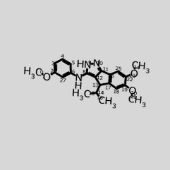 COc1cccc(Nc2[nH]nc3c2C(C(C)C)c2cc(OC)c(OC)cc2-3)c1